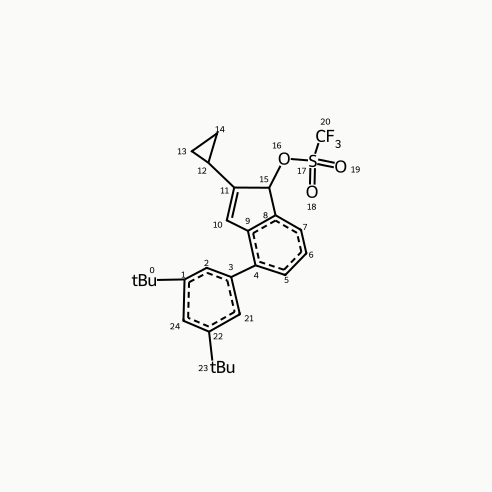 CC(C)(C)c1cc(-c2cccc3c2C=C(C2CC2)C3OS(=O)(=O)C(F)(F)F)cc(C(C)(C)C)c1